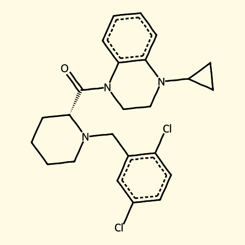 O=C([C@H]1CCCCN1Cc1cc(Cl)ccc1Cl)N1CCN(C2CC2)c2ccccc21